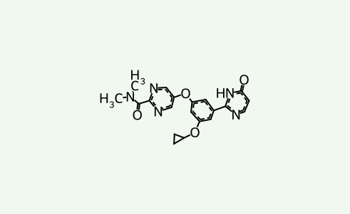 CN(C)C(=O)c1ncc(Oc2cc(OC3CC3)cc(-c3nccc(=O)[nH]3)c2)cn1